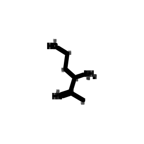 CC(=N)C(N)CCO